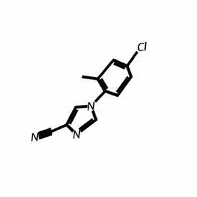 Cc1cc(Cl)ccc1-n1cnc(C#N)c1